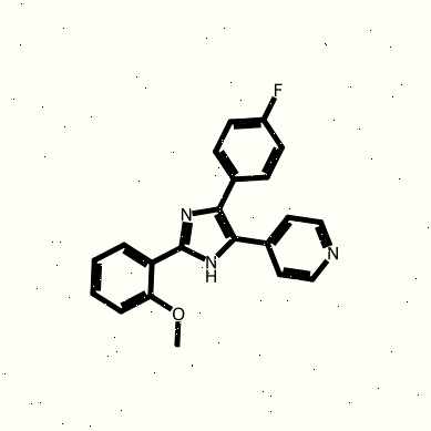 COc1ccccc1-c1nc(-c2ccc(F)cc2)c(-c2ccncc2)[nH]1